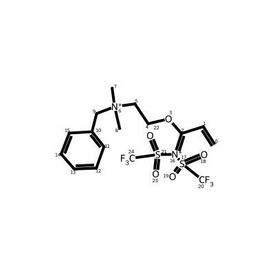 C=CC(OCC[N+](C)(C)Cc1ccccc1)=[N+](S(=O)(=O)C(F)(F)F)S(=O)(=O)C(F)(F)F